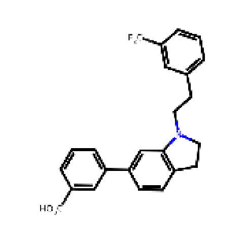 O=C(O)c1cccc(-c2ccc3c(c2)N(CCc2cccc(C(F)(F)F)c2)CC3)c1